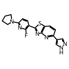 Fc1nc(N2CCCC2)ccc1-c1nc2nc(-c3cn[nH]c3)ccc2s1